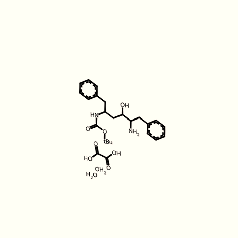 CC(C)(C)OC(=O)NC(Cc1ccccc1)CC(O)C(N)Cc1ccccc1.O.O.O=C(O)C(=O)O